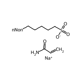 C=CC(N)=O.CCCCCCCCCCCCCCS(=O)(=O)[O-].[Na+]